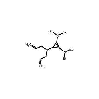 C=CCN(CC=C)C1C(N(CC)CC)=C1N(CC)CC